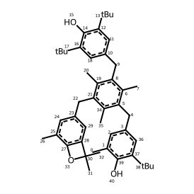 Cc1cc(Cc2c(C)c(Cc3cc(C(C)(C)C)c(O)c(C(C)(C)C)c3)c(C)c(Cc3cc(C)c4c(c3)C(C)(C)O4)c2C)cc(C(C)(C)C)c1O